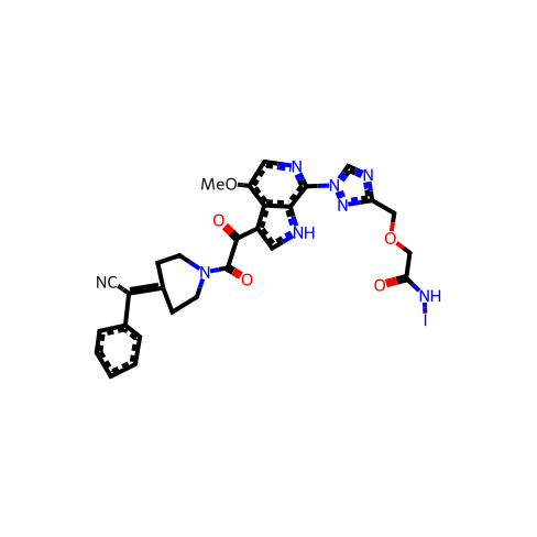 COc1cnc(-n2cnc(COCC(=O)NI)n2)c2[nH]cc(C(=O)C(=O)N3CCC(=C(C#N)c4ccccc4)CC3)c12